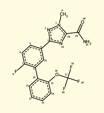 Cn1nc(-c2ccc(F)c(-c3ccccc3OC(F)(F)F)c2)nc1C(N)=O